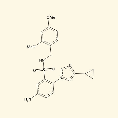 COc1ccc(CNS(=O)(=O)c2cc(N)ccc2-n2cnc(C3CC3)c2)c(OC)c1